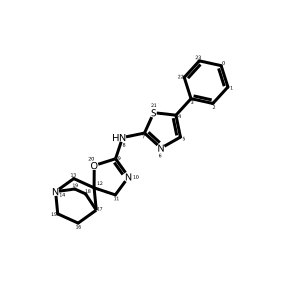 c1ccc(-c2cnc(NC3=NCC4(CN5CCC4CC5)O3)s2)cc1